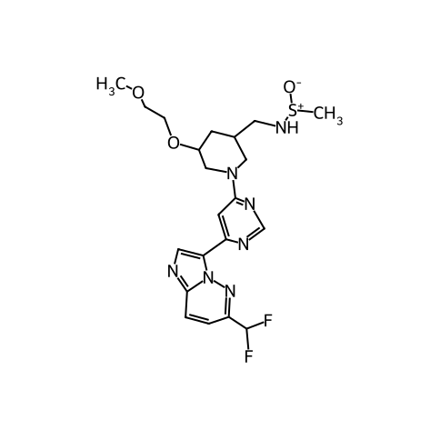 COCCOC1CC(CN[S+](C)[O-])CN(c2cc(-c3cnc4ccc(C(F)F)nn34)ncn2)C1